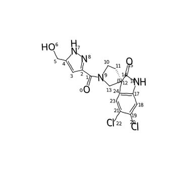 O=C(c1cc(CO)[nH]n1)N1CC[C@]2(C1)C(=O)Nc1cc(Cl)c(Cl)cc12